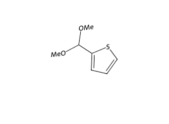 COC(OC)c1cccs1